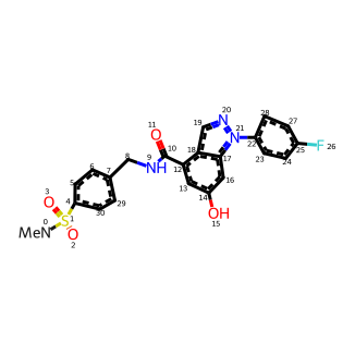 CNS(=O)(=O)c1ccc(CNC(=O)c2cc(O)cc3c2cnn3-c2ccc(F)cc2)cc1